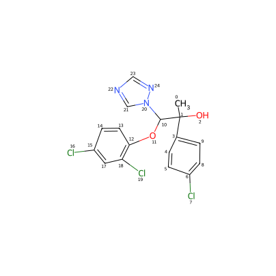 CC(O)(c1ccc(Cl)cc1)C(Oc1ccc(Cl)cc1Cl)n1cncn1